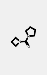 O=C(N1[CH]CC1)N1CCCC1